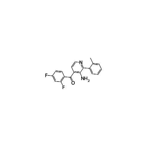 Cc1ccccc1-c1nccc(C(=O)c2ccc(F)cc2F)c1N